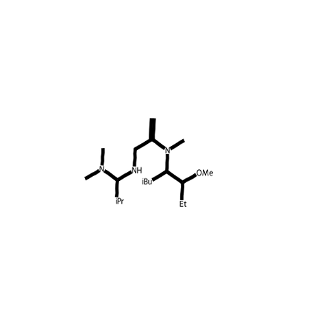 C=C(CNC(C(C)C)N(C)C)N(C)C(C(C)CC)C(CC)OC